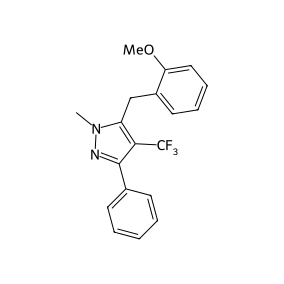 COc1ccccc1Cc1c(C(F)(F)F)c(-c2ccccc2)nn1C